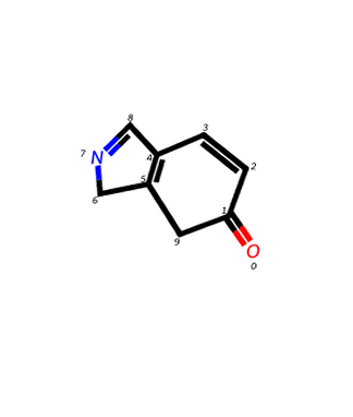 O=C1C=CC2=C(CN=C2)C1